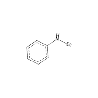 C[CH]Nc1ccccc1